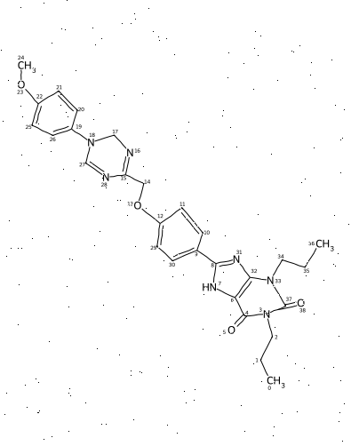 CCCn1c(=O)c2[nH]c(-c3ccc(OCC4=NCN(c5ccc(OC)cc5)C=N4)cc3)nc2n(CCC)c1=O